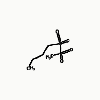 CCCCS(=O)(=O)S(C)(=O)=O